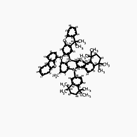 Cc1cc2c3c(c1)N(c1cccc4c1oc1ccccc14)c1cc4c(cc1B3c1sc3c5c(ccc3c1N2c1ccc2c(c1)C(C)(C)CCC2(C)C)C(C)(C)CCC5(C)C)C(C)(C)c1ccccc1O4